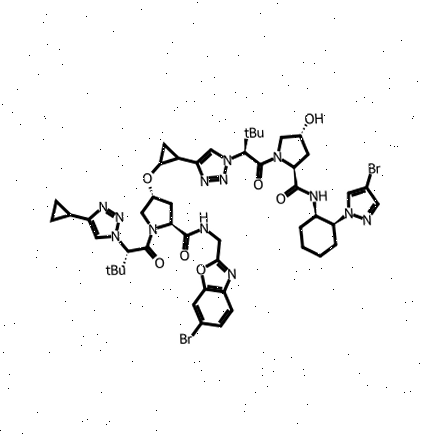 CC(C)(C)[C@@H](C(=O)N1C[C@H](OC2CC2c2cn([C@H](C(=O)N3C[C@H](O)C[C@H]3C(=O)N[C@@H]3CCCC[C@@H]3n3cc(Br)cn3)C(C)(C)C)nn2)C[C@H]1C(=O)NCc1nc2ccc(Br)cc2o1)n1cc(C2CC2)nn1